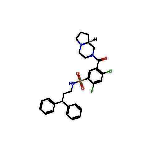 O=C(c1cc(S(=O)(=O)NCCC(c2ccccc2)c2ccccc2)c(F)cc1Cl)N1CCN2CCC[C@H]2C1